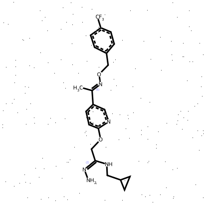 C/C(=N\OCc1ccc(C(F)(F)F)cc1)c1ccc(OC/C(=N/N)NCC2CC2)nc1